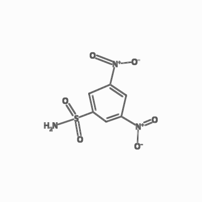 NS(=O)(=O)c1cc([N+](=O)[O-])cc([N+](=O)[O-])c1